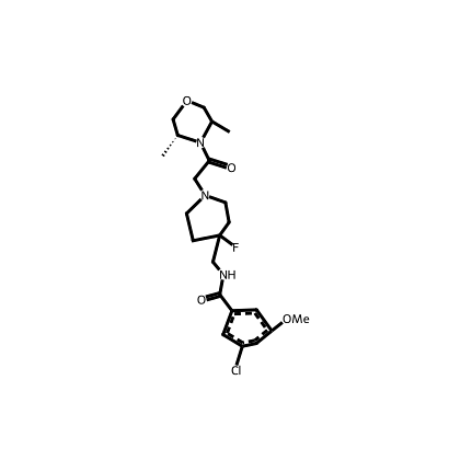 COc1cc(Cl)cc(C(=O)NCC2(F)CCN(CC(=O)N3C(C)COC[C@H]3C)CC2)c1